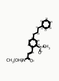 CN(O)C(=O)C=Cc1ccc(CCCc2ccccc2)cc1[S+](C)[O-]